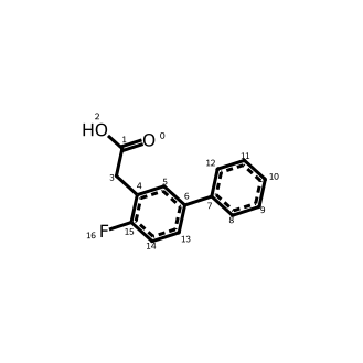 O=C(O)Cc1cc(-c2ccccc2)ccc1F